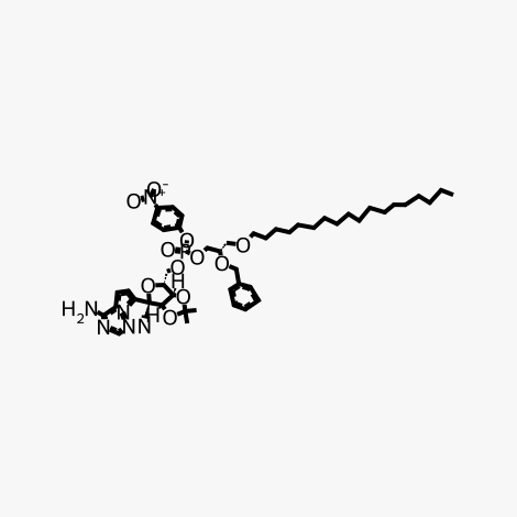 CCCCCCCCCCCCCCCCCCOC[C@@H](COP(=O)(OC[C@H]1O[C@@](C#N)(c2ccc3c(N)ncnn23)[C@@H]2OC(C)(C)O[C@@H]21)Oc1ccc([N+](=O)[O-])cc1)OCc1ccccc1